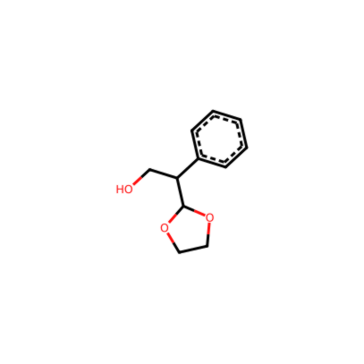 OCC(c1ccccc1)C1OCCO1